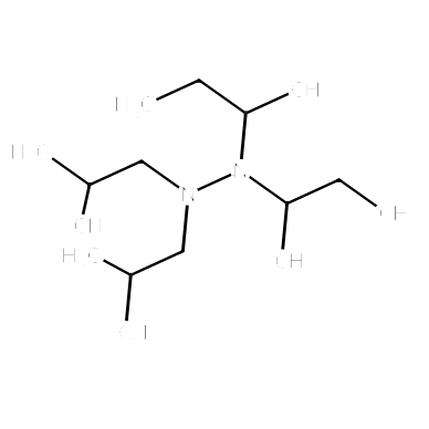 CCC(C)N(C(C)CC)N(CC(C)C)CC(C)C